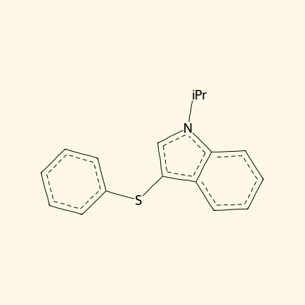 CC(C)n1cc(Sc2ccccc2)c2ccccc21